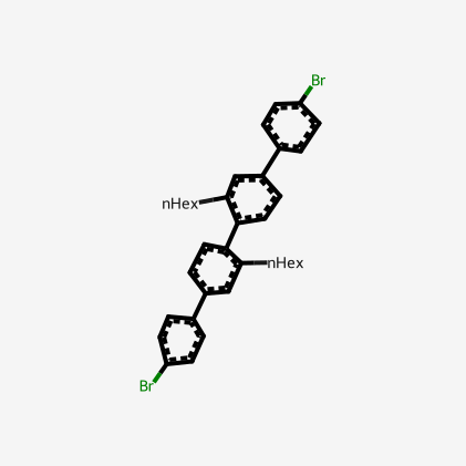 CCCCCCc1cc(-c2ccc(Br)cc2)ccc1-c1ccc(-c2ccc(Br)cc2)cc1CCCCCC